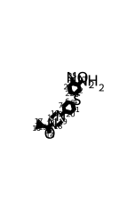 Nc1cc(Sc2ccc(N3CCN(C(=O)C4CC4)CC3)cc2)ccc1[N+](=O)[O-]